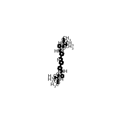 COC(=O)N[C@H](C(=O)N1CCC[C@H]1c1nc2ccc(-c3cnc4cc(-c5ccc6nc([C@@H]7CCCN7C(=O)[C@@H](NC(=O)OC)C(C)C)[nH]c6c5)ccc4c3)cc2[nH]1)C(C)C